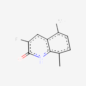 CCc1cc2c(OC)ccc(C)c2[nH]c1=O